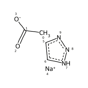 CC(=O)[O-].[Na+].c1c[nH]nn1